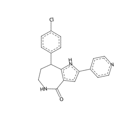 O=C1NCCC(c2ccc(Cl)cc2)c2[nH]c(-c3ccncc3)cc21